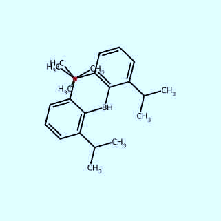 CC(C)c1cccc(C(C)C)c1Bc1c(C(C)C)cccc1C(C)C